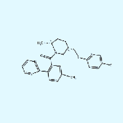 Cc1ccc(-c2ncccn2)c(C(=O)N2C[C@@H](COc3ccc(F)cn3)CC[C@H]2C)c1